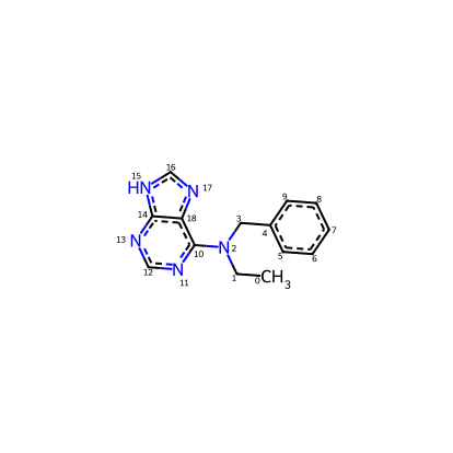 CCN(Cc1ccccc1)c1ncnc2[nH]cnc12